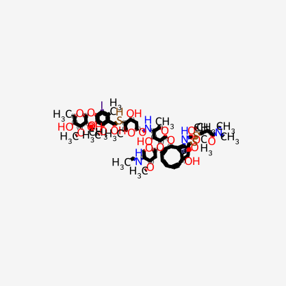 CCN[C@H]1CO[C@@H](O[C@H]2[C@H](O[C@H]3C#CC=CC#C[C@]4(O)CC(=O)C(NC(=O)OC)=C3/C4=C\CSSC(C)(C)CC(=O)N(C)C)O[C@H](C)[C@@H](NO[C@H]3C[C@H](O)[C@H]([SH]=C(O)c4c(C)c(I)c(O[C@@H]5O[C@@H](C)[C@H](O)[C@@H](OC)[C@H]5O)c(OC)c4OC)[C@@H](C)O3)[C@@H]2O)C[C@@H]1OC